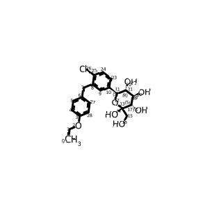 CCOc1ccc(Cc2cc([C@@H]3OC(O)(CO)[C@@H](O)[C@H](O)[C@H]3O)ccc2Cl)cc1